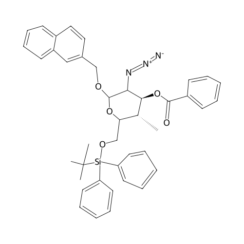 C[C@@H]1C(CO[Si](c2ccccc2)(c2ccccc2)C(C)(C)C)OC(OCc2ccc3ccccc3c2)C(N=[N+]=[N-])[C@H]1OC(=O)c1ccccc1